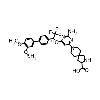 COc1ccc(-c2ccc([C@@H](Oc3cc(N4CCC5(CC4)CNC(C(=O)O)C5)nc(N)n3)C(F)(F)F)cc2)cc1OC